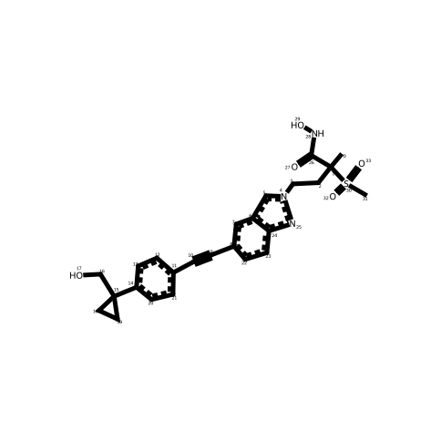 CC(CCn1cc2cc(C#Cc3ccc(C4(CO)CC4)cc3)ccc2n1)(C(=O)NO)S(C)(=O)=O